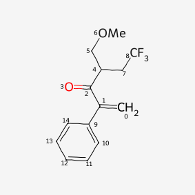 C=C(C(=O)C(COC)CC(F)(F)F)c1ccccc1